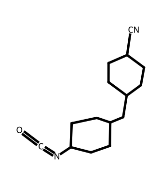 N#CC1CCC(CC2CCC(N=C=O)CC2)CC1